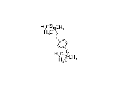 CO[Si](C)(C)CCc1ccc(OC(C)(C)C)cc1